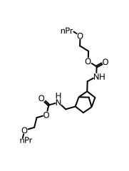 CCCOCCOC(=O)NCC1CC2CC(CNC(=O)OCCOCCC)C1C2